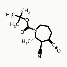 C[C@H]1C(C#N)C(=C=O)CCCN1C(=O)OC(C)(C)C